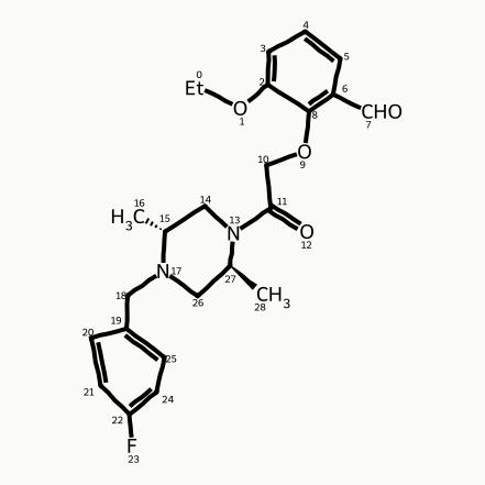 CCOc1cccc(C=O)c1OCC(=O)N1C[C@@H](C)N(Cc2ccc(F)cc2)C[C@@H]1C